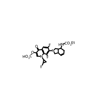 CCOC(=O)NC1CC=CC2CN(c3c(F)cc4c(=O)c(OC(=O)O)cn(C5CC5F)c4c3F)CC21